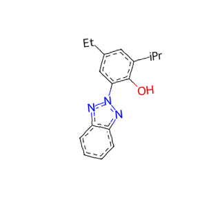 CCc1cc(C(C)C)c(O)c(-n2nc3ccccc3n2)c1